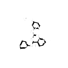 COc1cccc(Nc2nc(Nc3ccccc3)c3ccccc3n2)c1.Cl